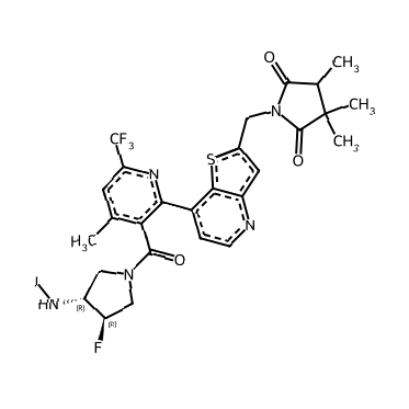 Cc1cc(C(F)(F)F)nc(-c2ccnc3cc(CN4C(=O)C(C)C(C)(C)C4=O)sc23)c1C(=O)N1C[C@@H](F)[C@H](NI)C1